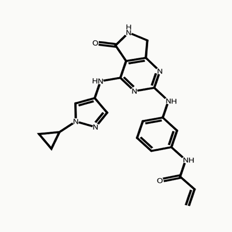 C=CC(=O)Nc1cccc(Nc2nc3c(c(Nc4cnn(C5CC5)c4)n2)C(=O)NC3)c1